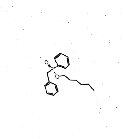 CCCCCCOP(=O)(Cc1ccccc1)c1ccccc1